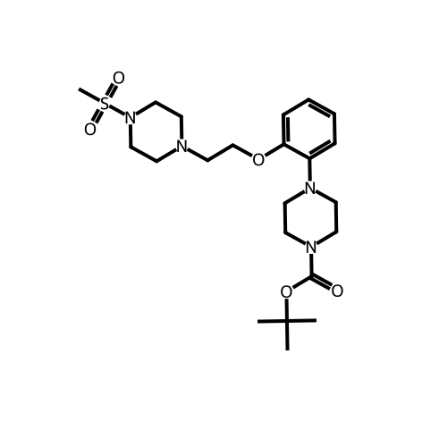 CC(C)(C)OC(=O)N1CCN(c2ccccc2OCCN2CCN(S(C)(=O)=O)CC2)CC1